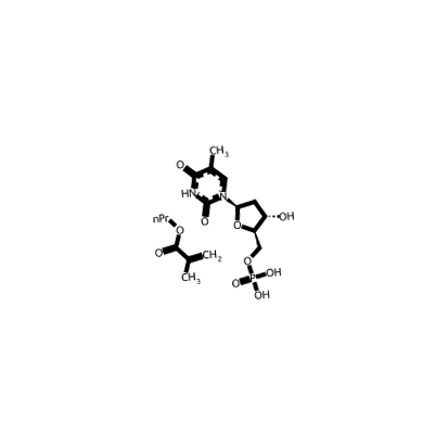 C=C(C)C(=O)OCCC.Cc1cn([C@H]2C[C@H](O)[C@@H](COP(=O)(O)O)O2)c(=O)[nH]c1=O